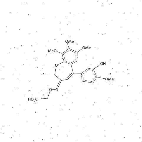 COc1ccc(C2=CC(=NOCC(=O)O)COc3c2cc(OC)c(OC)c3OC)cc1O